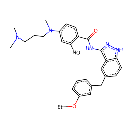 CCOc1cccc(Cc2ccc3[nH]nc(NC(=O)c4ccc(N(C)CCCN(C)C)cc4N=O)c3c2)c1